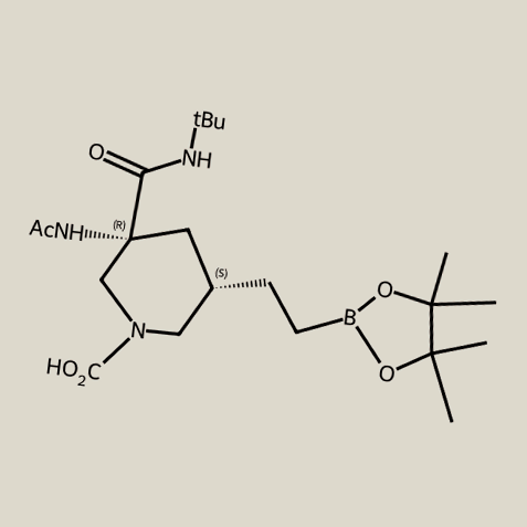 CC(=O)N[C@]1(C(=O)NC(C)(C)C)C[C@H](CCB2OC(C)(C)C(C)(C)O2)CN(C(=O)O)C1